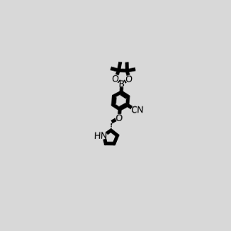 CC1(C)OB(c2ccc(OC[C@@H]3CCCN3)c(C#N)c2)OC1(C)C